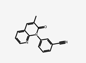 Cc1cc2cccnc2n(-c2cccc(C#N)c2)c1=O